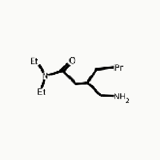 CCN(CC)C(=O)CC(CN)CC(C)C